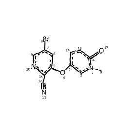 Cn1cc(Oc2cc(Br)cnc2C#N)ccc1=O